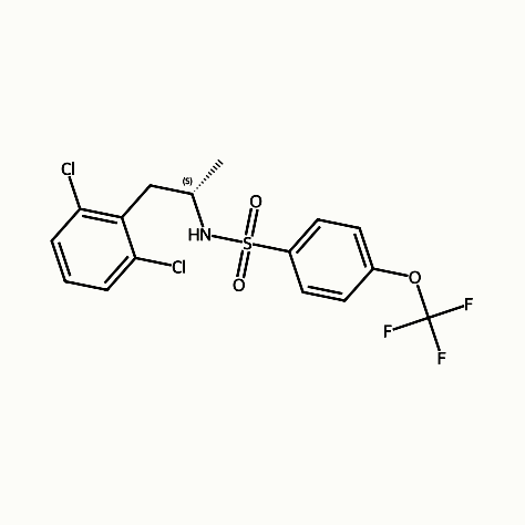 C[C@@H](Cc1c(Cl)cccc1Cl)NS(=O)(=O)c1ccc(OC(F)(F)F)cc1